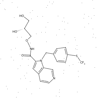 O=C(NOC[C@H](O)CO)c1cc2ccncc2n1Cc1ccc(SC(F)(F)F)cc1